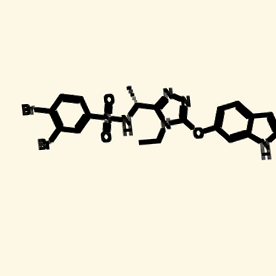 CCn1c(Oc2ccc3cc[nH]c3c2)nnc1[C@@H](C)NS(=O)(=O)c1ccc(Br)c(Br)c1